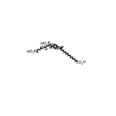 C[C@@H](CCCCNC(=O)CC[C@@H](NC(=O)c1ccc(CNC(=O)CCCCCCCCCCCCCCC(=O)O)cc1)C(=O)O)C(=O)O